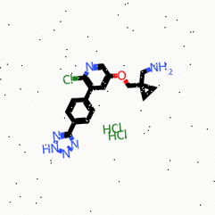 Cl.Cl.NCC1(COc2cnc(Cl)c(-c3ccc(-c4nn[nH]n4)cc3)c2)CC1